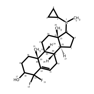 CN(C1CC1)C1CC[C@H]2[C@@H]3CC=C4C(F)(F)C(O)CC[C@]4(C)[C@@H]3CC[C@]12C